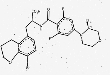 O=C(NC(Cc1ccc(Br)c2c1CCCO2)C(=O)O)c1c(F)cc(N2CCOC[C@@H]2C(F)(F)F)cc1F